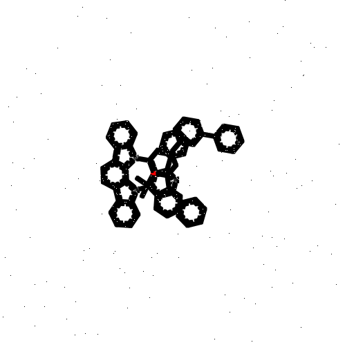 CC1(C)C2=C(n3c4ccccc4c4ccc5c6ccccc6n(-c6nc(-c7ccccc7)nc(-c7ccccc7)n6)c5c43)C=C(c3cccc(-c4ccccc4)c3)CC2c2ccccc21